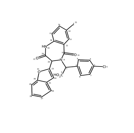 O=C(O)C(c1ccc(Cl)cc1)N1C(=O)c2cc(I)ccc2NC(=O)C1c1cc2ccccc2o1